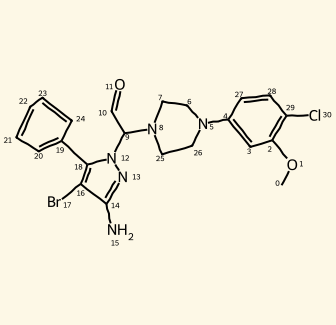 COc1cc(N2CCN(C(C=O)n3nc(N)c(Br)c3-c3ccccc3)CC2)ccc1Cl